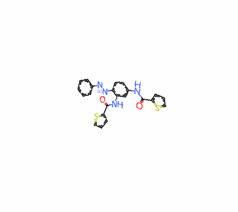 O=C(Nc1ccc(/N=N/c2ccccc2)c(NC(=O)c2cccs2)c1)c1cccs1